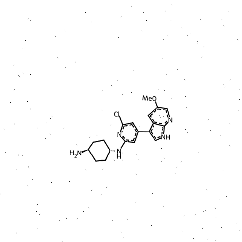 COc1cnc2[nH]cc(-c3cc(Cl)nc(N[C@H]4CC[C@H](N)CC4)c3)c2c1